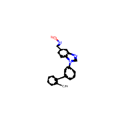 N#Cc1ccccc1-c1cccc(-n2cnc3cc(C=NO)ccc32)c1